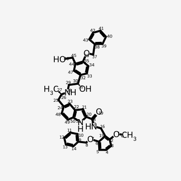 COc1cccc(OCc2ccccc2)c1CNC(=O)c1cc2cc(C[C@@H](C)NC[C@@H](O)c3ccc(OCc4ccccc4)c(CO)c3)ccc2[nH]1